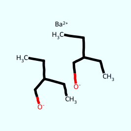 CCC(CC)C[O-].CCC(CC)C[O-].[Ba+2]